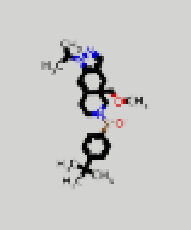 COCC12Cc3cnn(C(C)C)c3C=C1CCN([S+]([O-])c1ccc(C(C)(C)C)cc1)C2